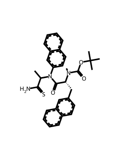 CC(C(N)=S)N(C(=O)[C@@H](Cc1ccc2ccccc2c1)N(C)C(=O)OC(C)(C)C)c1ccc2ccccc2c1